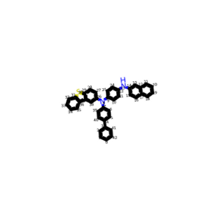 c1ccc(-c2ccc(N(c3ccc(Nc4ccc5ccccc5c4)cc3)c3ccc4sc5ccccc5c4c3)cc2)cc1